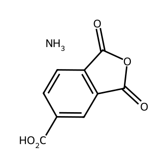 N.O=C(O)c1ccc2c(c1)C(=O)OC2=O